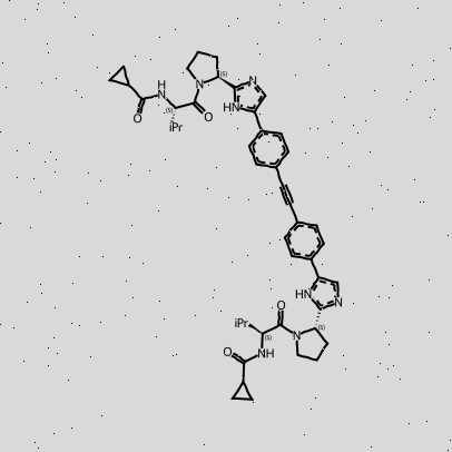 CC(C)[C@H](NC(=O)C1CC1)C(=O)N1CCC[C@H]1c1ncc(-c2ccc(C#Cc3ccc(-c4cnc([C@@H]5CCCN5C(=O)[C@@H](NC(=O)C5CC5)C(C)C)[nH]4)cc3)cc2)[nH]1